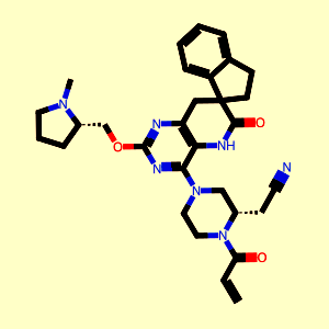 C=CC(=O)N1CCN(c2nc(OC[C@@H]3CCCN3C)nc3c2NC(=O)C2(CCc4ccccc42)C3)C[C@@H]1CC#N